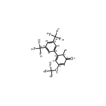 CC1C(=O)C=C(OC(F)(F)F)C=C1c1cc(C(F)(F)F)cc(C(F)(F)F)c1